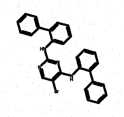 Brc1cnc(Nc2ccccc2-c2ccccc2)nc1Nc1ccccc1-c1ccccc1